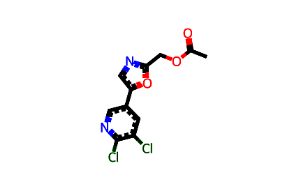 CC(=O)OCc1ncc(-c2cnc(Cl)c(Cl)c2)o1